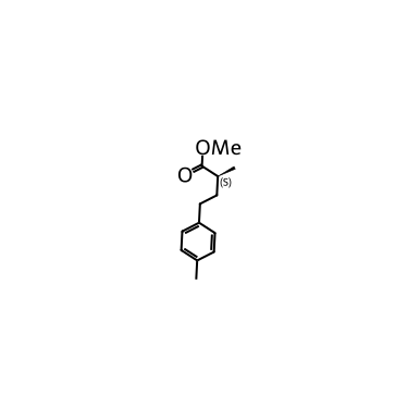 COC(=O)[C@@H](C)CCc1ccc(C)cc1